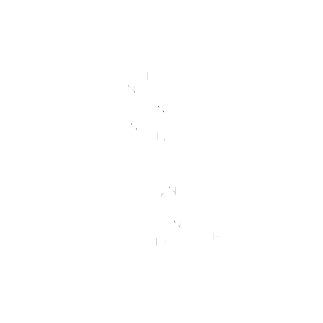 CCN(C)/C=N/C=C/C/C=N\C(=N/C)N(C)C